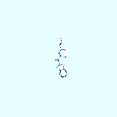 C/C=C/C(=O)/N=C(\N)Nc1nc2ccccc2o1